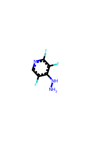 NNc1c(F)cnc(F)c1F